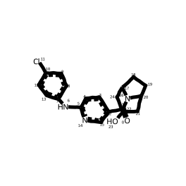 O=C(c1ccc(Nc2ccc(Cl)cc2)nc1)N1C2CCC1CC(O)C2